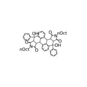 CCCCCCCCN1C(=O)C2C3c4cccc5c4C(c4cccc(c43)C(O)(c3ccccc3)C2C1=O)C1C(=O)N(CCCCCCCC)C(=O)C1C5(O)c1ccccc1